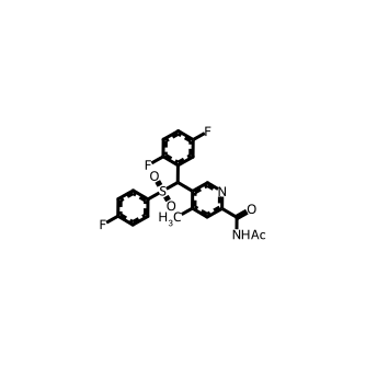 CC(=O)NC(=O)c1cc(C)c(C(c2cc(F)ccc2F)S(=O)(=O)c2ccc(F)cc2)cn1